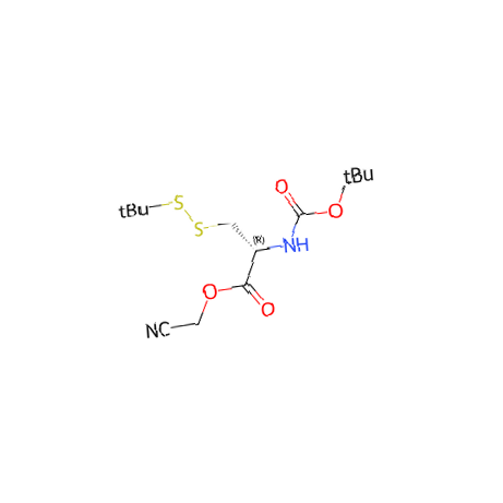 CC(C)(C)OC(=O)N[C@@H](CSSC(C)(C)C)C(=O)OCC#N